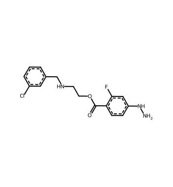 NNc1ccc(C(=O)OCCNCc2cccc(Cl)c2)c(F)c1